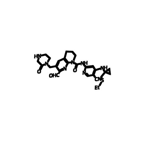 CCSCC1(Nc2cc(NC(=O)N3CCCc4cc(CN5CCNCC5=O)c(C=O)nc43)ncc2C#N)CC1